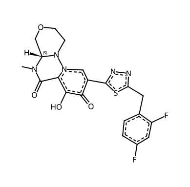 CN1C(=O)c2c(O)c(=O)c(-c3nnc(Cc4ccc(F)cc4F)s3)cn2N2CCOC[C@@H]12